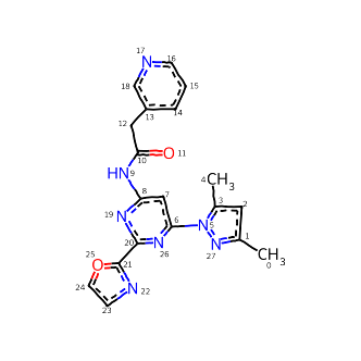 Cc1cc(C)n(-c2cc(NC(=O)Cc3cccnc3)nc(-c3ncco3)n2)n1